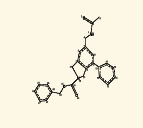 CC(=O)NCc1cc2c(c(-c3ccccc3)c1)CN(C(=O)OCc1ccccc1)C2